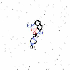 CN1CC[N+](C)(CC(=O)Nc2ccc3cccc(N)c3c2O)CC1